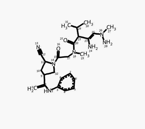 C=C(Nc1ccccc1)C1CC(C#N)N(C(=O)CN(C)C(=O)C(/C(N)=C/N(C)N)C(C)C)C1